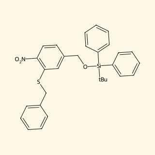 CC(C)(C)[Si](OCc1ccc([N+](=O)[O-])c(SCc2ccccc2)c1)(c1ccccc1)c1ccccc1